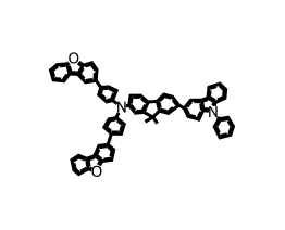 CC1(C)c2cc(-c3ccc4c(c3)c3ccccc3n4-c3ccccc3)ccc2-c2ccc(N(c3ccc(-c4ccc5oc6ccccc6c5c4)cc3)c3ccc(-c4ccc5oc6ccccc6c5c4)cc3)cc21